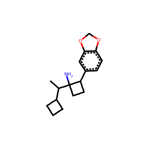 CC(C1CCC1)C1(N)CCC1c1ccc2c(c1)OCO2